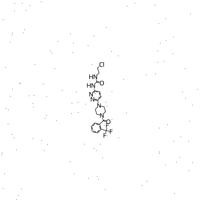 O=C(NCCCl)Nc1ccc(N2CCN(C(=O)c3ccccc3C(F)(F)F)CC2)nn1